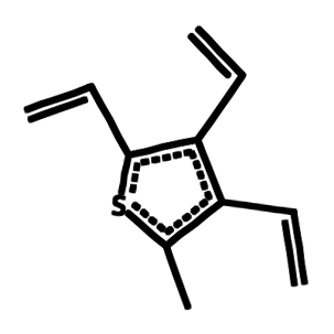 C=Cc1sc(C)c(C=C)c1C=C